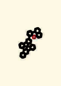 C1=C2c3cccc(-c4ccc5c(c4)-c4ccccc4C54c5ccccc5-c5cc6ccccc6cc54)c3Oc3cccc(c32)CC1